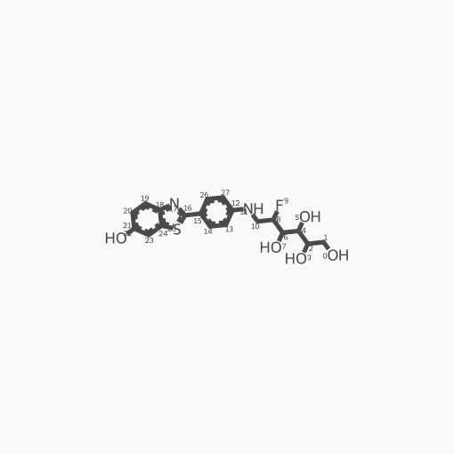 OCC(O)C(O)C(O)C(F)CNc1ccc(-c2nc3ccc(O)cc3s2)cc1